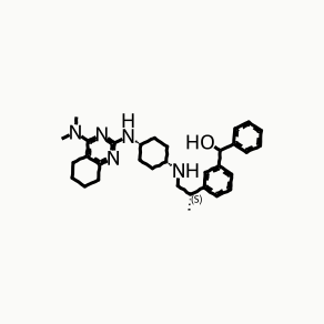 C[C@H](CN[C@H]1CC[C@@H](Nc2nc3c(c(N(C)C)n2)CCCC3)CC1)c1cccc(C(O)c2ccccc2)c1